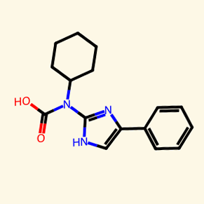 O=C(O)N(c1nc(-c2ccccc2)c[nH]1)C1CCCCC1